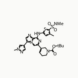 CNS(=O)(=O)c1sc(Nc2nc(C3=CCCN(C(=O)OC(C)(C)C)C3)cn3c(-c4cnn(C)c4)cnc23)cc1C